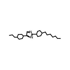 CCCCCCCC1CCC(c2ncc(C3CCC(CCC)CC3)cn2)CC1